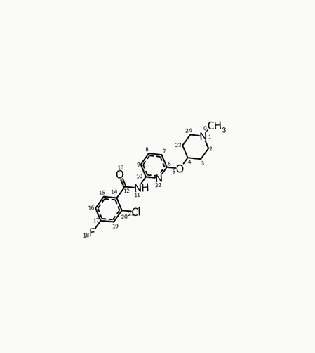 CN1CCC(Oc2cccc(NC(=O)c3ccc(F)cc3Cl)n2)CC1